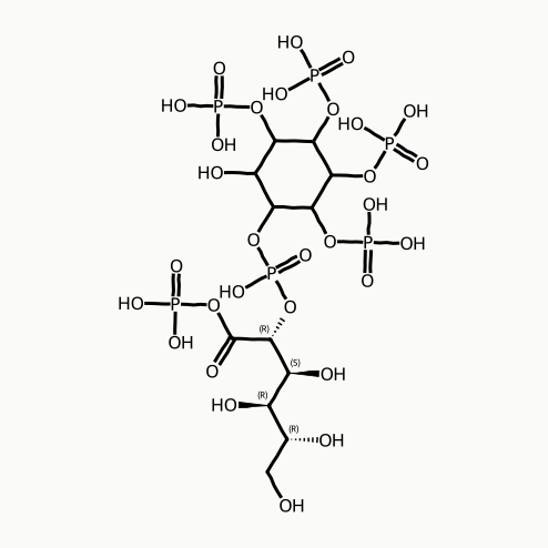 O=C(OP(=O)(O)O)[C@H](OP(=O)(O)OC1C(O)C(OP(=O)(O)O)C(OP(=O)(O)O)C(OP(=O)(O)O)C1OP(=O)(O)O)[C@@H](O)[C@H](O)[C@H](O)CO